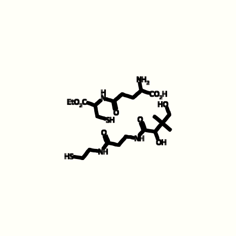 CC(C)(CO)C(O)C(=O)NCCC(=O)NCCS.CCOC(=O)C(CS)NC(=O)CCC(N)C(=O)O